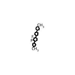 Cc1ccc(-c2ccc(-c3ccc(C4C=CC(C)CC4)cc3)c(F)c2F)cc1